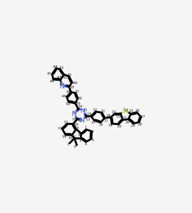 CC1(C)c2ccccc2-c2c(-c3nc(-c4ccc(-c5ccc6c(c5)sc5ccccc56)cc4)nc(-c4ccc(-c5ccc6ccccc6n5)cc4)n3)cccc21